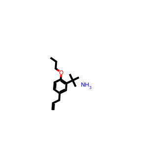 C=CCc1ccc(OCCC)c(C(C)(C)C)c1.N